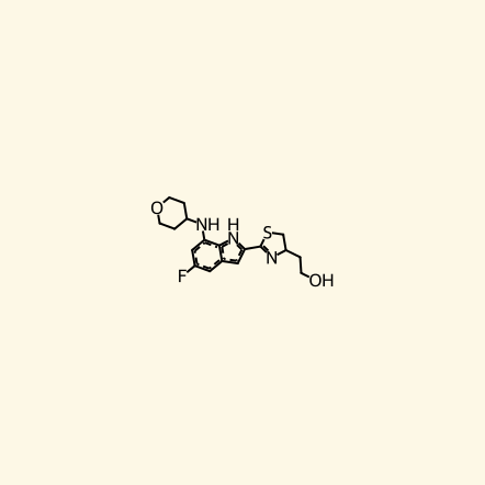 OCCC1CSC(c2cc3cc(F)cc(NC4CCOCC4)c3[nH]2)=N1